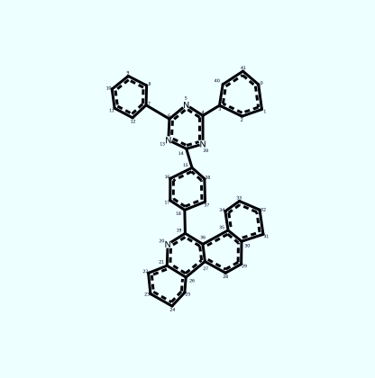 c1ccc(-c2nc(-c3ccccc3)nc(-c3ccc(-c4nc5ccccc5c5ccc6ccccc6c45)cc3)n2)cc1